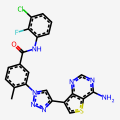 Cc1ccc(C(=O)Nc2cccc(Cl)c2F)cc1-n1cc(-c2csc3c(N)ncnc23)nn1